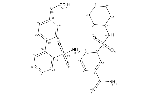 N=C(N)c1cccc(S(=O)(=O)NC2CCCCC2)c1.NS(=O)(=O)c1ccccc1-c1ccc(NC(=O)O)cc1